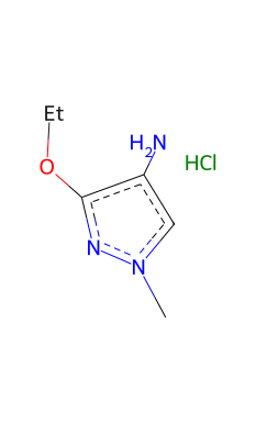 CCOc1nn(C)cc1N.Cl